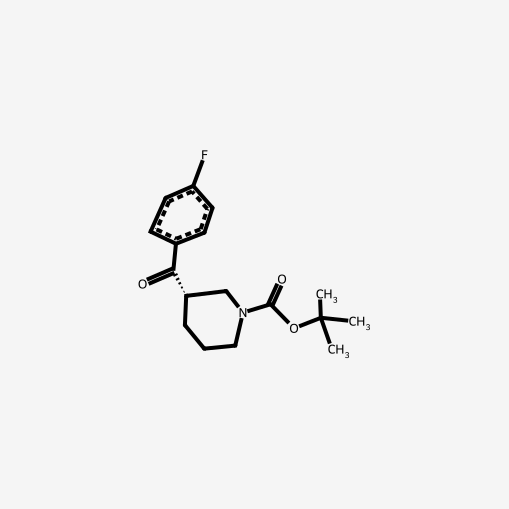 CC(C)(C)OC(=O)N1CCC[C@H](C(=O)c2ccc(F)cc2)C1